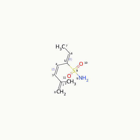 C=C(C)/C=C\C(=C/C)S(N)(=O)=O